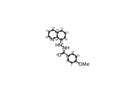 COc1ccc(C(=O)NNc2cccc3cccnc23)cc1